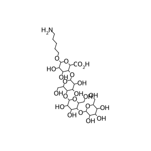 NCCCCCOC1OC(C(=O)O)C(OC2OC(CO)C(OC3OC(CO)C(OC4OC(CO)C(O)C(O)C4O)C(O)C3O)C(O)C2O)C(O)C1O